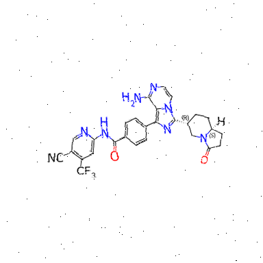 N#Cc1cnc(NC(=O)c2ccc(-c3nc([C@@H]4CC[C@H]5CCC(=O)N5C4)n4ccnc(N)c34)cc2)cc1C(F)(F)F